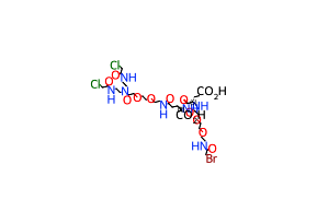 O=C(O)CC[C@H](NC(=O)COCCOCCNC(=O)CBr)C(=O)N[C@H](CCC(=O)NCCOCCOCC(=O)N(CCNC(=O)CCl)CCNC(=O)CCl)C(=O)O